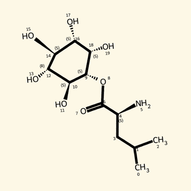 CC(C)C[C@H](N)C(=O)O[C@@H]1[C@@H](O)[C@H](O)[C@@H](O)[C@H](O)[C@@H]1O